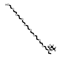 CCN(CCOCCOCCOCCOCCOCCOCCOCCOCCO)S(=O)(=O)C(F)(F)C(F)(F)F